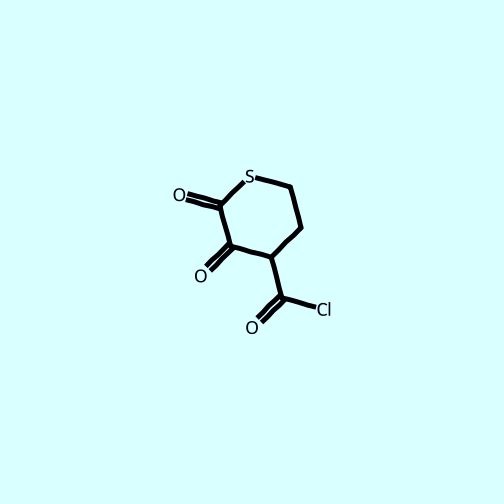 O=C1SCCC(C(=O)Cl)C1=O